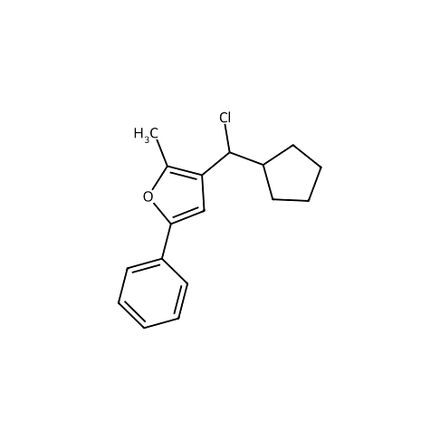 Cc1oc(-c2ccccc2)cc1C(Cl)C1CCCC1